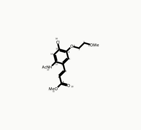 COCCOc1cc(C=CC(=O)OC)c(NC(C)=O)cc1Cl